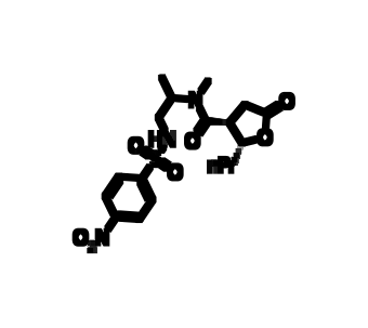 CCC[C@H]1OC(=O)C[C@@H]1C(=O)N(C)C(C)CNS(=O)(=O)c1ccc([N+](=O)[O-])cc1